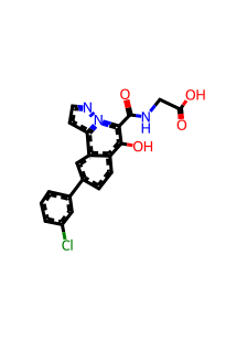 O=C(O)CNC(=O)c1c(O)c2ccc(-c3cccc(Cl)c3)cc2c2ccnn12